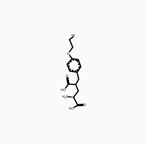 N[C@@H](CC(Cc1ccc(OCC[18F])cc1)C(=O)O)C(=O)O